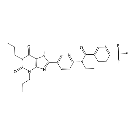 CCCn1c(=O)c2[nH]c(-c3ccc(N(CC)C(=O)c4ccc(C(F)(F)F)nc4)nc3)nc2n(CCC)c1=O